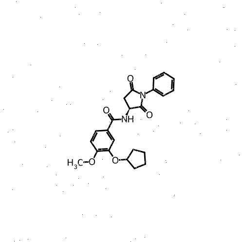 COc1ccc(C(=O)N[C@H]2CC(=O)N(c3ccccc3)C2=O)cc1OC1CCCC1